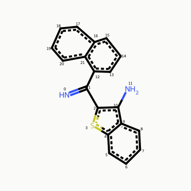 N=C(c1sc2ccccc2c1N)c1cccc2ccccc12